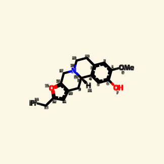 COc1cc2c(cc1O)[C@@H]1Cc3cc(CC(C)C)oc3CN1CC2